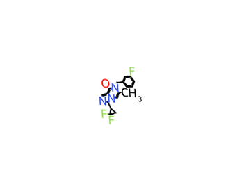 Cc1cn2c(C3CC3(F)F)ncc2c(=O)n1Cc1cccc(F)c1